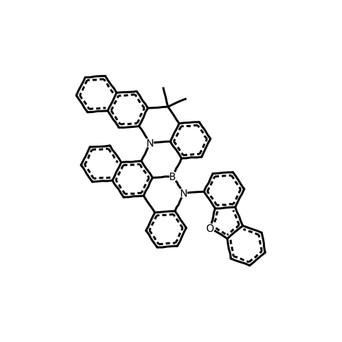 CC1(C)c2cc3ccccc3cc2N2c3c(cccc31)B1c3c(cc4ccccc4c32)-c2ccccc2N1c1cccc2c1oc1ccccc12